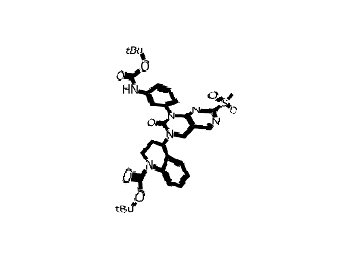 CC(C)(C)OC(=O)Nc1cccc(N2C(=O)N(C3CCN(C(=O)OC(C)(C)C)c4ccccc43)Cc3cnc(S(C)(=O)=O)nc32)c1